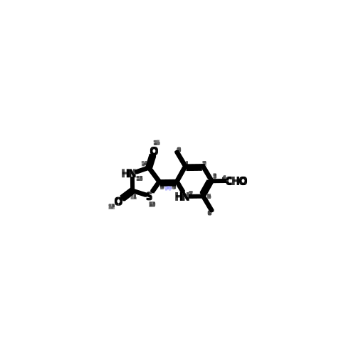 CC1=CC(C=O)=C(C)N/C1=C1\SC(=O)NC1=O